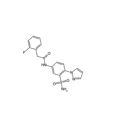 NS(=O)(=O)c1cc(NC(=O)Cc2ccccc2F)ccc1-n1cccn1